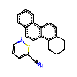 N#CC1=CC=CNS1.c1ccc2c(c1)ccc1c3c(ccc12)CCCC3